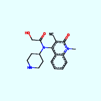 Cn1c(=O)c(C#N)c(N(C(=O)CO)C2CCNCC2)c2ccccc21